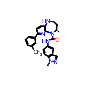 C[C@@H]1CCNc2ccc(-c3cccc(C(F)(F)F)c3)nc2N1C(=O)Nc1ccc2c(cnn2C)c1